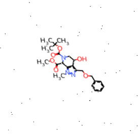 COC(=O)C1c2c(c(COCc3ccccc3)nn2C)C(O)CN1C(=O)OC(C)(C)C